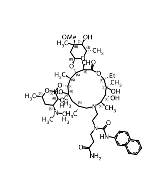 CC[C@H]1OC(=O)[C@H](C)[C@@H](O[C@H]2C[C@@](C)(OC)[C@@H](O)[C@H](C)O2)[C@H](C)[C@@H](O[C@@H]2O[C@H](C)C[C@H](N(C)C)[C@H]2O)[C@](C)(O)C[C@@H](C)CN(CCN(CCC(N)=O)C(=O)Nc2ccc3ccccc3c2)[C@H](C)[C@@H](O)[C@]1(C)O